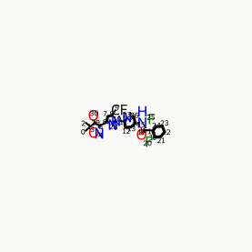 CC1(C)ON=C(c2cc(C(F)(F)F)n(-c3ccc(NC(=O)c4c(F)cccc4F)cn3)n2)C1=O